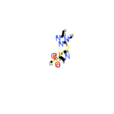 Cc1nnc(Sc2ncc(S(C)(=O)=O)s2)n1C